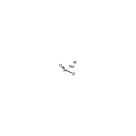 [Al].[Na+].[O]=[Al][O-]